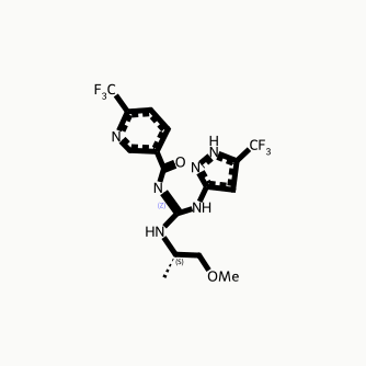 COC[C@H](C)N/C(=N/C(=O)c1ccc(C(F)(F)F)nc1)Nc1cc(C(F)(F)F)[nH]n1